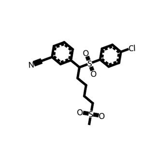 CS(=O)(=O)CCCCC(c1cccc(C#N)c1)S(=O)(=O)c1ccc(Cl)cc1